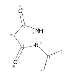 CC(C)N1NC(=O)CC1=O